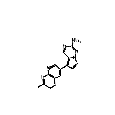 CC1=Nc2ncc(-c3ccn4nc(N)ncc34)cc2CC1